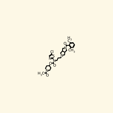 CC(=O)N1CCC(OC(=O)N(CCCN2CC3CN(C(=O)c4c(C)cccc4C)CC3C2)c2ncc(Cl)s2)CC1